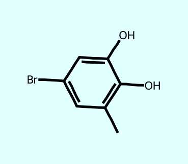 Cc1cc(Br)cc(O)c1O